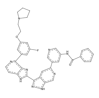 O=C(Nc1cncc(-c2cc3c(-c4nc5c(-c6cc(F)cc(OCCN7CCCC7)c6)nccc5[nH]4)n[nH]c3cn2)c1)c1ccccc1